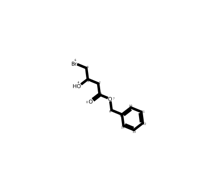 O=C(CC(O)CBr)OCc1ccccc1